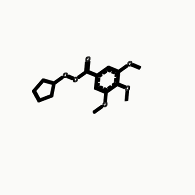 COc1cc(C(=O)OO[C]2CCCC2)cc(OC)c1OC